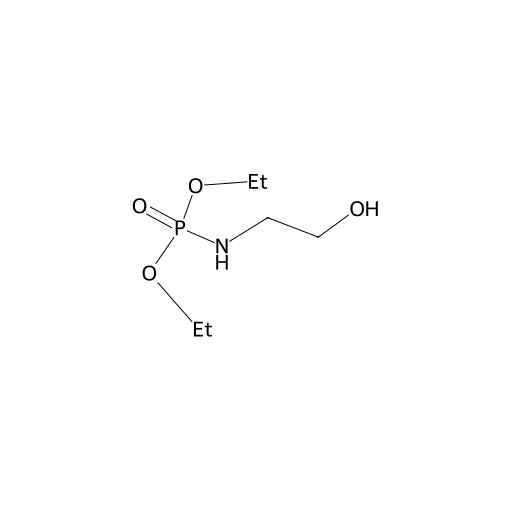 CCOP(=O)(NCCO)OCC